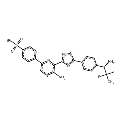 CC(C)S(=O)(=O)c1ccc(-c2cnc(N)c(-c3nnc(-c4ccc([C@@H](N)C(C)(F)F)cc4)o3)n2)cc1